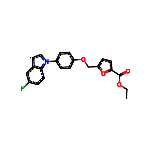 CCOC(=O)c1ccc(COc2ccc(-n3c[c]c4cc(F)ccc43)cc2)o1